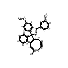 COc1ccc(C(OCc2cccc(Br)c2)(/C2=C/C=C(/C)CC#CC2)c2ccccc2)cc1